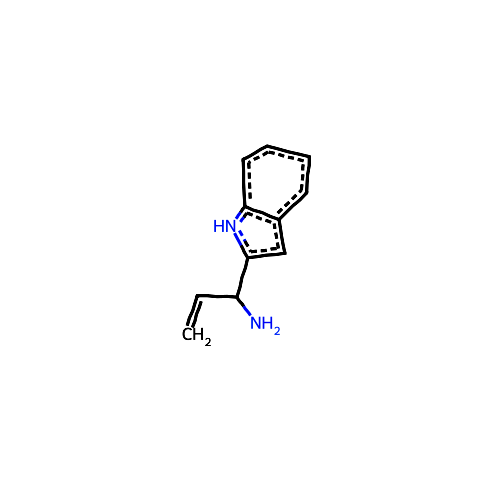 C=CC(N)c1cc2ccccc2[nH]1